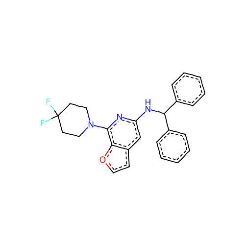 FC1(F)CCN(c2nc(NC(c3ccccc3)c3ccccc3)cc3ccoc23)CC1